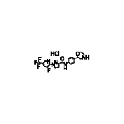 Cl.O=C(Nc1ccc([C@H]2CNCCO2)cc1)c1ccn(-c2ncc(C(F)(F)F)cc2F)n1